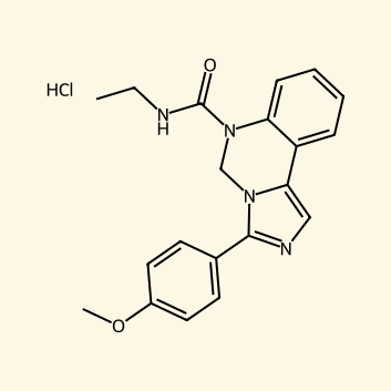 CCNC(=O)N1Cn2c(cnc2-c2ccc(OC)cc2)-c2ccccc21.Cl